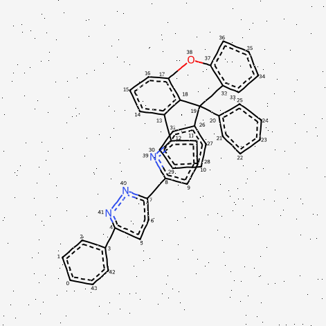 c1ccc(-c2ccc(-c3cccc(-c4cccc5c4C(c4ccccc4)(c4ccccc4)c4ccccc4O5)n3)nn2)cc1